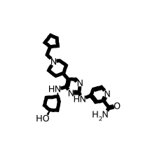 NC(=O)c1cc(Nc2ncc(C3CCN(CC4CCCC4)CC3)c(N[C@H]3CC[C@H](O)CC3)n2)ccn1